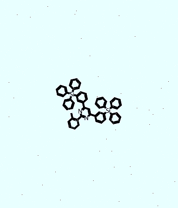 CC1=C(c2nc(-c3cccc([Si](c4ccccc4)(c4ccccc4)c4ccccc4)c3)cc(-c3cccc([Si](c4ccccc4)(c4ccccc4)c4ccccc4)c3)n2)CCC=C1